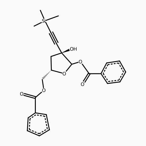 C[Si](C)(C)C#C[C@@]1(O)C[C@@H](COC(=O)c2ccccc2)OC1OC(=O)c1ccccc1